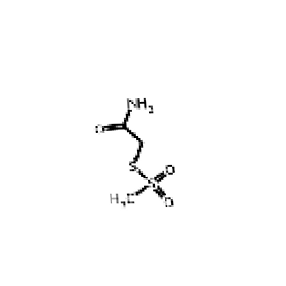 CS(=O)(=O)SCC(N)=O